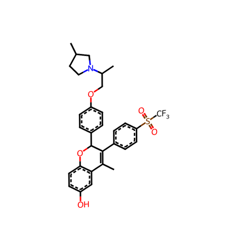 CC1=C(c2ccc(S(=O)(=O)C(F)(F)F)cc2)C(c2ccc(OCC(C)N3CCC(C)C3)cc2)Oc2ccc(O)cc21